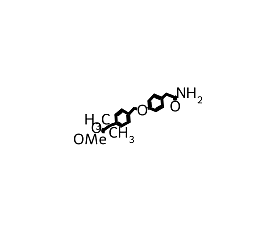 COC(=O)C(C)(C)c1ccc(COc2ccc(CC(N)=O)cc2)cc1